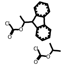 CC(C)OC(=O)Cl.CC(OC(=O)Cl)C1c2ccccc2-c2ccccc21